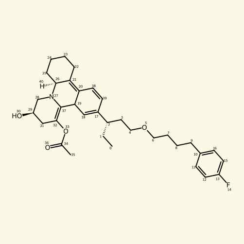 CC[C@@H](CCOCCCCc1ccc(F)cc1)C1=CC2C(=C3CCCC[C@@H]3N3C[C@H](O)CC(OC(C)=O)=C23)C=C1